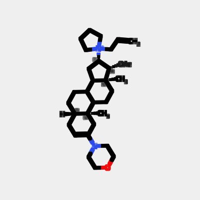 C=CC[N+]1([C@H]2CC3C4CC[C@H]5CC=C(N6CCOCC6)C[C@]5(C)C4CC[C@]3(C)[C@H]2OC(C)=O)CCCC1